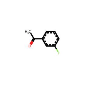 CC(=O)c1c[c]cc(F)c1